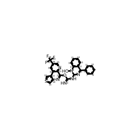 N=C(NC1N=C(c2ccccc2)c2ccccc2N1O)OC(=N)c1ncc(C(F)(F)F)cc1-c1ccsc1